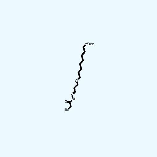 CCCCCCCCCCCCCCCCCCOCC/C=N/NC(=O)CC(C)CC